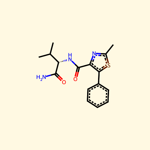 Cc1nc(C(=O)N[C@H](C(N)=O)C(C)C)c(-c2ccccc2)s1